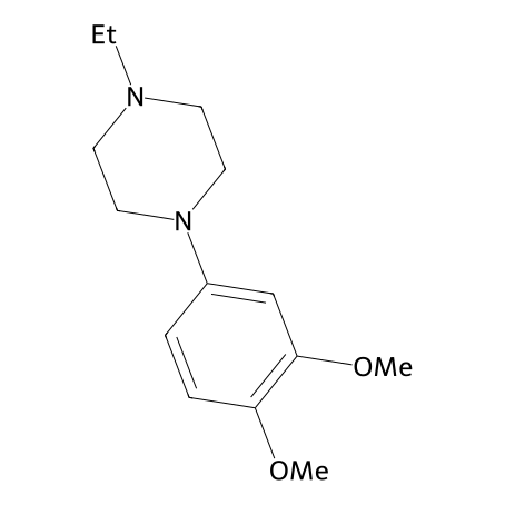 CCN1CCN(c2ccc(OC)c(OC)c2)CC1